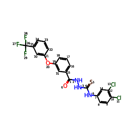 O=C(NNC(=S)Nc1ccc(Cl)c(Cl)c1)c1cccc(Oc2cccc(C(F)(F)F)c2)c1